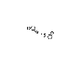 O=C1CCCC(CSCCCSCC2CCCC(=O)C2)C1